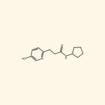 O=C(CCc1ccc(O)cn1)NC1CCCC1